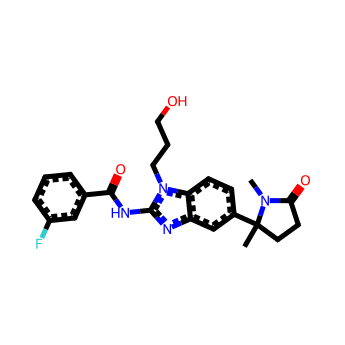 CN1C(=O)CCC1(C)c1ccc2c(c1)nc(NC(=O)c1cccc(F)c1)n2CCCO